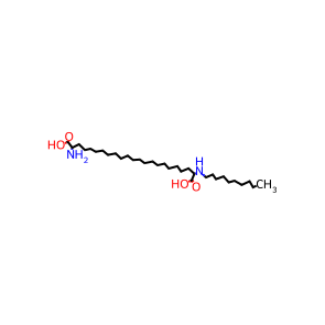 CCCCCCCCCCNC(CCCCCCCCCCCCCCCCCCCC(N)C(=O)O)C(=O)O